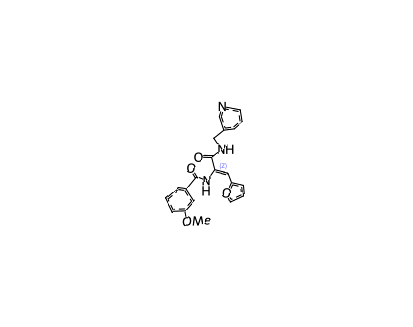 COc1cccc(C(=O)N/C(=C\c2ccco2)C(=O)NCc2cccnc2)c1